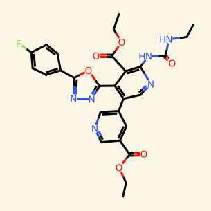 CCNC(=O)Nc1ncc(-c2cncc(C(=O)OCC)c2)c(-c2nnc(-c3ccc(F)cc3)o2)c1C(=O)OCC